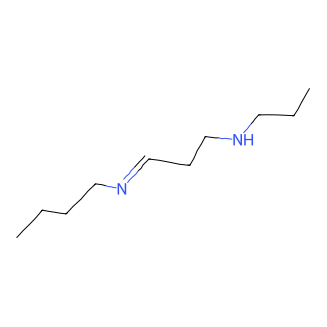 CCCCN=CCCNCCC